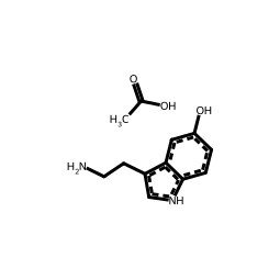 CC(=O)O.NCCc1c[nH]c2ccc(O)cc12